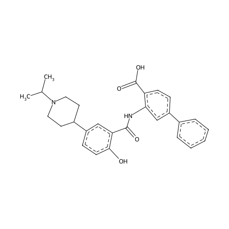 CC(C)N1CCC(c2ccc(O)c(C(=O)Nc3cc(-c4ccccc4)ccc3C(=O)O)c2)CC1